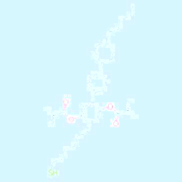 C=C(C)C(=O)Oc1cc(-c2ccc(C3CCC(CCCCC)CC3)cc2)c(OC(=O)C(=C)C)cc1CCCCCCS